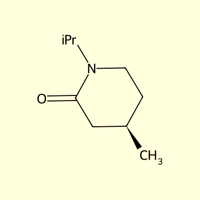 CC(C)N1CC[C@@H](C)CC1=O